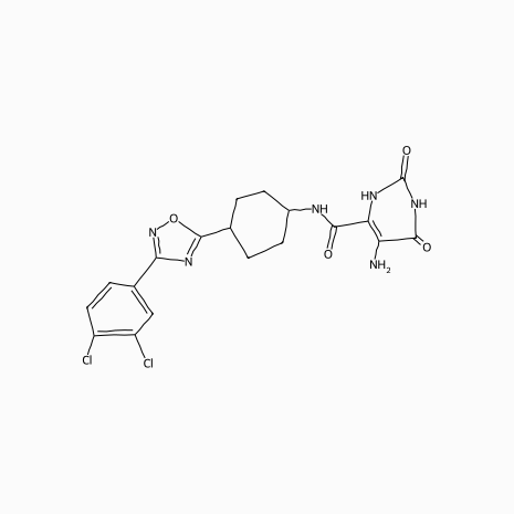 Nc1c(C(=O)NC2CCC(c3nc(-c4ccc(Cl)c(Cl)c4)no3)CC2)[nH]c(=O)[nH]c1=O